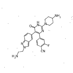 N#Cc1ccc(-c2nc(N3CCC(N)CC3)[nH]c(=O)c2-c2ccc3nn(CCN)cc3c2)cc1F